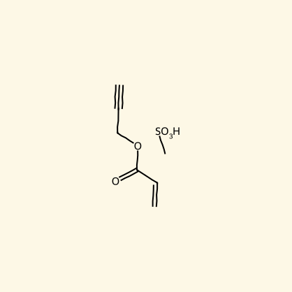 C#CCOC(=O)C=C.CS(=O)(=O)O